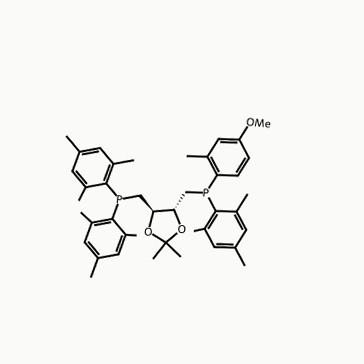 COc1ccc(P(C[C@@H]2OC(C)(C)O[C@H]2CP(c2c(C)cc(C)cc2C)c2c(C)cc(C)cc2C)c2c(C)cc(C)cc2C)c(C)c1